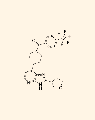 O=C(c1ccc(S(F)(F)(F)(F)F)cc1)N1CCC(c2ccnc3[nH]c(C4CCOC4)nc23)CC1